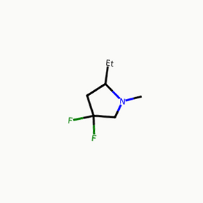 CCC1CC(F)(F)CN1C